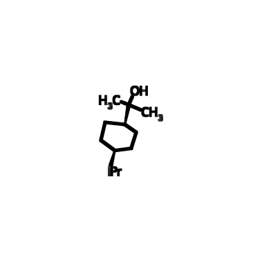 CC(C)[C@H]1CC[C@@H](C(C)(C)O)CC1